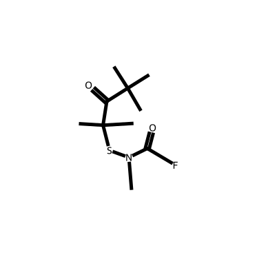 CN(SC(C)(C)C(=O)C(C)(C)C)C(=O)F